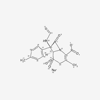 CC1=C(C(=O)[O-])N2C(=O)C(NC=O)(c3ccc(C)cc3)[C@@H]2S(=O)(=O)C1.[Na+]